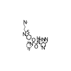 C[C@H]1CC[C@H](c2ccc3sc(CCCN(C)C)nc3c2)N(C(=O)C(=O)Nc2cncc3cn[nH]c23)C1